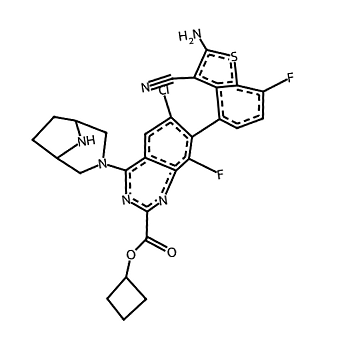 N#Cc1c(N)sc2c(F)ccc(-c3c(Cl)cc4c(N5CC6CCC(C5)N6)nc(C(=O)OC5CCC5)nc4c3F)c12